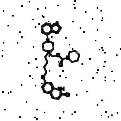 O=C(OC[N+]1(CCCCOc2ccc3ccc(=O)[nH]c3c2)CCN(c2cccc3sccc23)CC1)N1CCCCC1